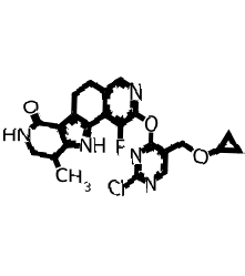 CC1CNC(=O)c2c1[nH]c1c2CCc2cnc(Oc3nc(Cl)ncc3COC3CC3)c(F)c2-1